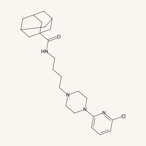 O=C(NCCCCN1CCN(c2cccc(Cl)n2)CC1)C12CC3CC(CC(C3)C1)C2